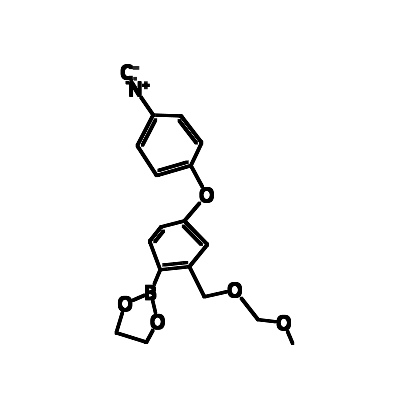 [C-]#[N+]c1ccc(Oc2ccc(B3OCCO3)c(COCOC)c2)cc1